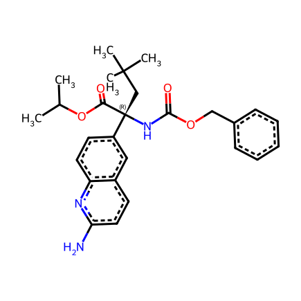 CC(C)OC(=O)[C@](CC(C)(C)C)(NC(=O)OCc1ccccc1)c1ccc2nc(N)ccc2c1